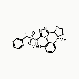 COc1cccc(OC)c1-n1c(NS(=O)(=O)[C@@H](C)c2ccccc2)nnc1C1CCCO1